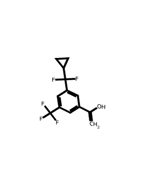 C=C(O)c1cc(C(F)(F)F)cc(C(F)(F)C2CC2)c1